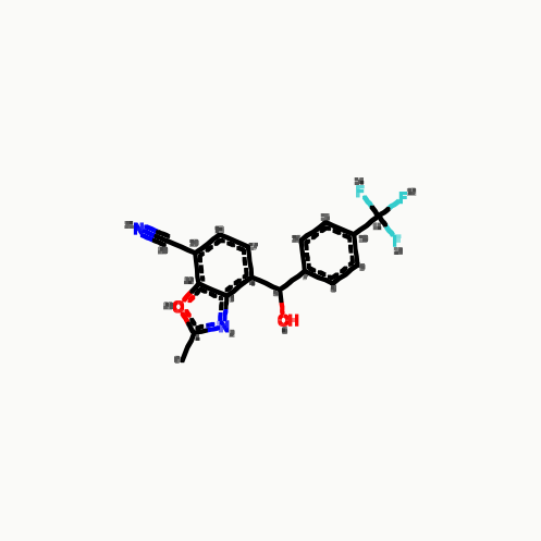 Cc1nc2c(C(O)c3ccc(C(F)(F)F)cc3)ccc(C#N)c2o1